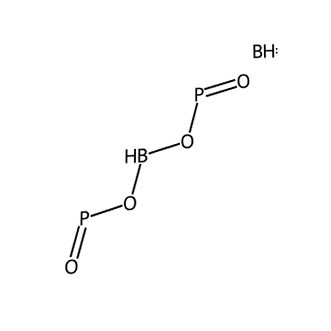 O=POBOP=O.[BH]